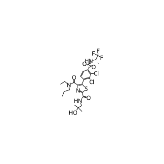 CCCN(CC)C(=O)c1nc(C(=O)NCC(C)(C)O)sc1-c1ccc(S(=O)(=O)N[C@@H](C)C(F)(F)F)c(Cl)c1Cl